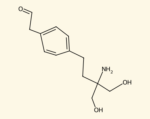 NC(CO)(CO)CCc1ccc(CC=O)cc1